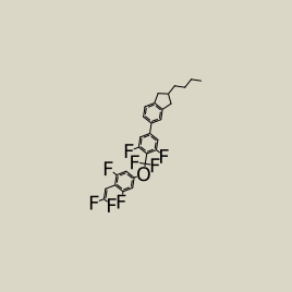 CCCCC1Cc2ccc(-c3cc(F)c(C(F)(F)Oc4cc(F)c(C=C(F)F)c(F)c4)c(F)c3)cc2C1